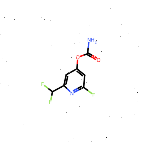 NC(=O)Oc1cc(F)nc(C(F)F)c1